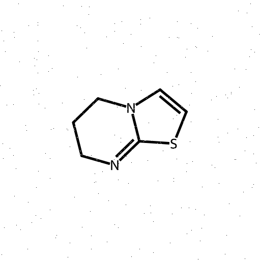 C1=CN2CCCN=C2S1